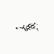 CCOC(=O)c1noc2c(F)c(N3C[C@@H](C)O[C@@H](C)C3)c(C=O)cc12